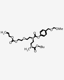 C=CCOC(=O)OCCOCCN(CCN(C)C(=O)OC(C)(C)C)C(=O)Oc1ccc(COCOC)cc1